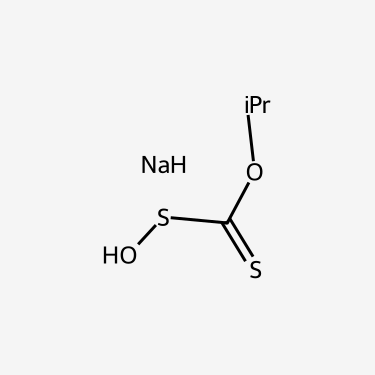 CC(C)OC(=S)SO.[NaH]